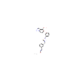 COC(=O)/C=C/c1cccc(Cc2csc(-c3cccc(Oc4ccc5[nH]ccc5c4CO)c3)n2)c1